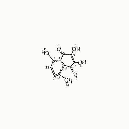 O=C1C(O)=C(O)C(=O)c2c(O)ccc(O)c21